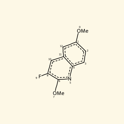 COc1ccc2nc(OC)c(F)cc2c1